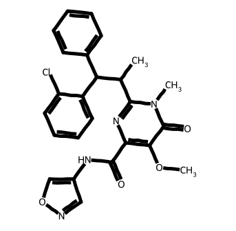 COc1c(C(=O)Nc2cnoc2)nc(C(C)C(c2ccccc2)c2ccccc2Cl)n(C)c1=O